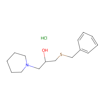 Cl.OC(CSCc1ccccc1)CN1CCCCC1